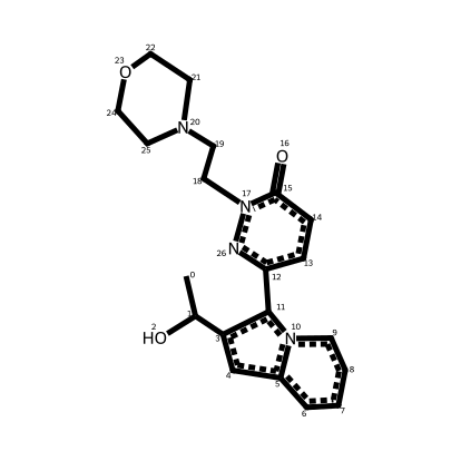 CC(O)c1cc2ccccn2c1-c1ccc(=O)n(CCN2CCOCC2)n1